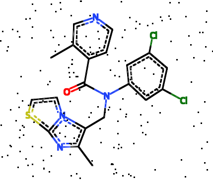 Cc1cnccc1C(=O)N(Cc1c(C)nc2sccn12)c1cc(Cl)cc(Cl)c1